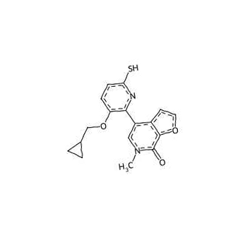 Cn1cc(-c2nc(S)ccc2OCC2CC2)c2ccoc2c1=O